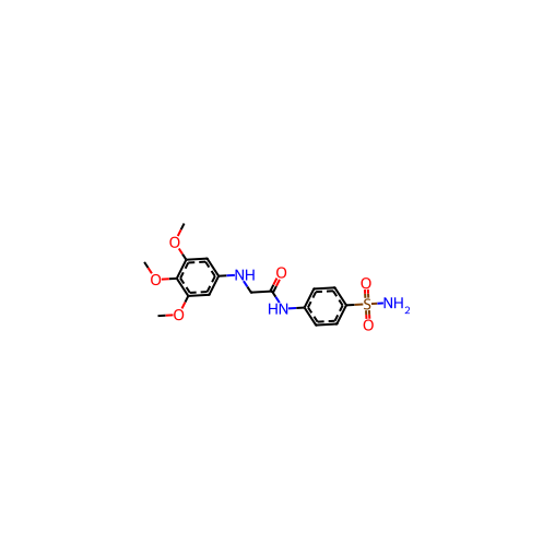 COc1cc(NCC(=O)Nc2ccc(S(N)(=O)=O)cc2)cc(OC)c1OC